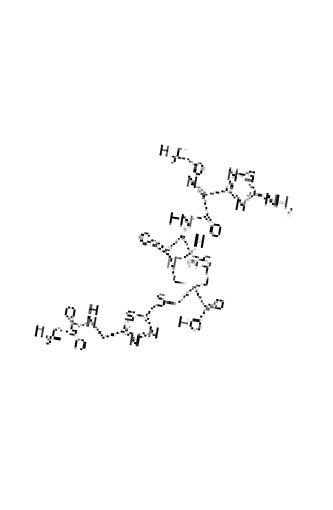 CON=C(C(=O)NC1C(=O)N2CC(CSc3nnc(CNS(C)(=O)=O)s3)(C(=O)O)CS[C@H]12)c1nsc(N)n1